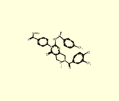 CNC(=O)c1ccc(-n2c(N[C@@H](C)c3ccc(C(F)(F)F)cc3)nc3c(c2=O)C[C@@H](C)N(C(=O)c2ccc(Cl)c(C(F)(F)F)c2)C3)cc1